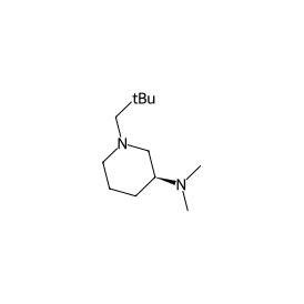 CN(C)[C@H]1CCCN(CC(C)(C)C)C1